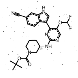 CC(C)(C)OC(=O)N1CCC[C@H](Nc2ncc(OC(F)F)c(-c3c[nH]c4cc(C#N)ccc34)n2)C1